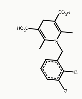 CC1=C(C(=O)O)CC(C(=O)O)=C(C)N1[CH]c1cccc(Cl)c1Cl